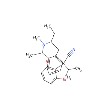 CCC(CCC(C#N)(c1c(Br)cccc1Br)C(C)C)N(C)C(C)c1ccccc1